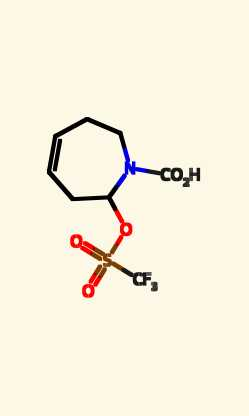 O=C(O)N1CCC=CCC1OS(=O)(=O)C(F)(F)F